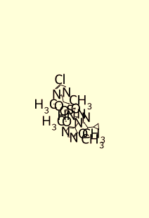 COc1ncnc(OC)c1-n1c(NS(=O)(=O)[C@@H](C)[C@H](OC)c2ncc(Cl)cn2)nnc1[C@@H](C)C1CC1